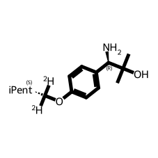 [2H]C([2H])(Oc1ccc([C@@H](N)C(C)(C)O)cc1)[C@@H](C)CCC